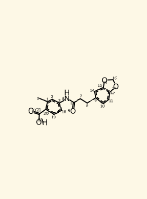 Cc1cc(NC(=O)CCc2ccc3c(c2)OCO3)ccc1C(=O)O